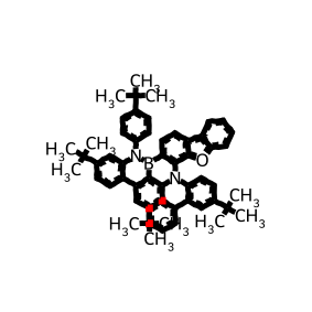 CC(C)(C)c1ccc(N2B3c4ccc5c(oc6ccccc65)c4N(c4ccc(C(C)(C)C)cc4-c4ccccc4)c4cc(C(C)(C)C)cc(c43)-c3ccc(C(C)(C)C)cc32)cc1